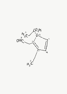 CC(=O)O.Cc1ccoc1C=O